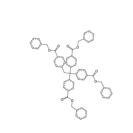 O=C(OCc1ccccc1)c1ccc(CC(c2ccc(C(=O)OCc3ccccc3)cc2)(c2ccc(C(=O)OCc3ccccc3)cc2)c2ccc(C(=O)OCc3ccccc3)cc2)cc1